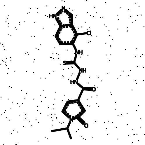 CC(C)n1ccc(C(=O)NNC(=S)Nc2ccc3[nH]ncc3c2Cl)cc1=O